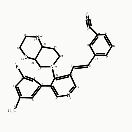 Cc1cc(F)cc(-c2cncc(C=Cc3cccc(C#N)c3)c2N2CCC3NCCOC3C2)c1